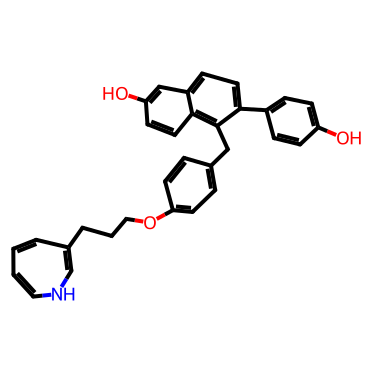 Oc1ccc(-c2ccc3cc(O)ccc3c2Cc2ccc(OCCCC3=CNC=CC=C3)cc2)cc1